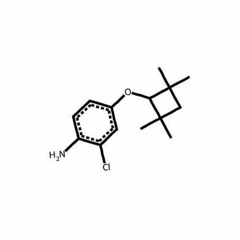 CC1(C)CC(C)(C)C1Oc1ccc(N)c(Cl)c1